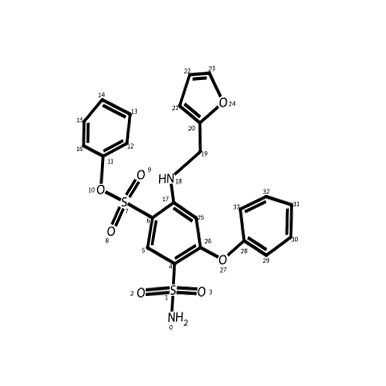 NS(=O)(=O)c1cc(S(=O)(=O)Oc2ccccc2)c(NCc2ccco2)cc1Oc1ccccc1